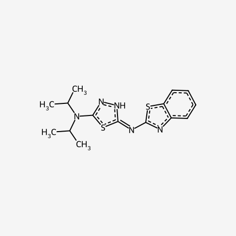 CC(C)N(c1n[nH]/c(=N\c2nc3ccccc3s2)s1)C(C)C